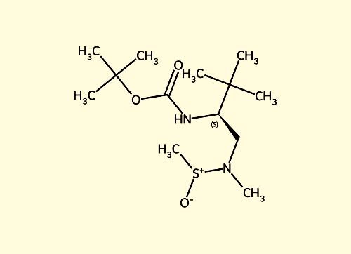 CN(C[C@@H](NC(=O)OC(C)(C)C)C(C)(C)C)[S+](C)[O-]